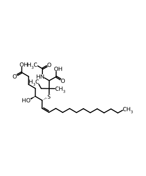 CCCCCCCCCCC/C=C\[C@@H](SC(C)(CC)C(NC(C)=O)C(=O)O)[C@@H](O)CCCC(=O)O